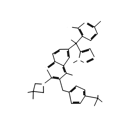 Cc1ccc(C(O)(c2ccc3nc(N4CC(F)(F)C4)c(Cc4ccc(C(F)(F)F)cc4)c(Cl)c3c2)c2cnnn2C)c(C)n1